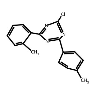 Cc1ccc(-c2nc(Cl)nc(-c3ccccc3C)n2)cc1